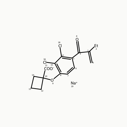 C=C(CC)C(=O)c1ccc(OC2(C(=O)[O-])CCC2)c(Cl)c1Cl.[Na+]